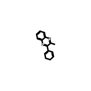 Cc1nc2ccccc2nc1C1=CCCC=C1